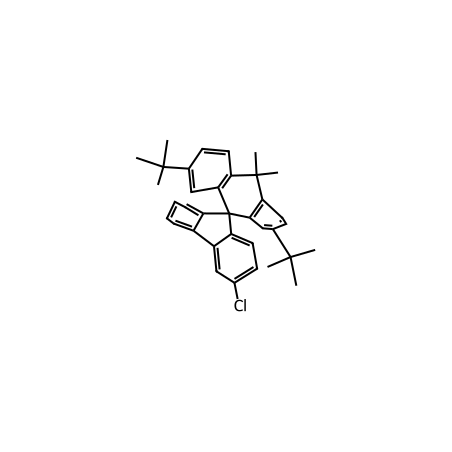 CC(C)(C)c1ccc2c(c1)C1(c3ccccc3-c3cc(Cl)ccc31)c1cc(C(C)(C)C)ccc1C2(C)C